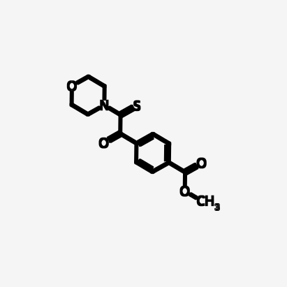 COC(=O)c1ccc(C(=O)C(=S)N2CCOCC2)cc1